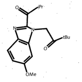 COc1ccc2nc(C(=O)C(C)C)n(CC(=O)C(C)(C)C)c2c1